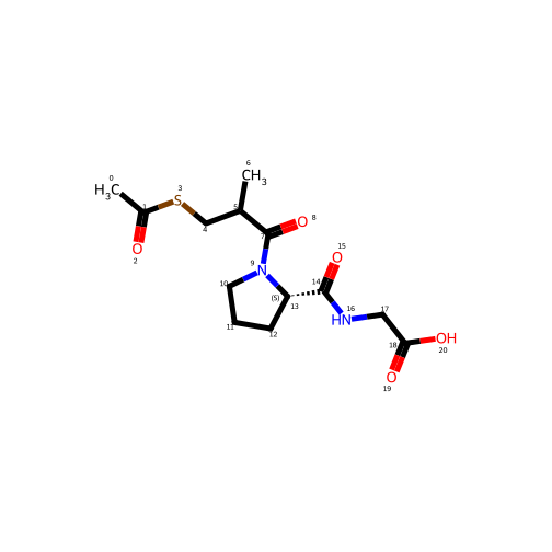 CC(=O)SCC(C)C(=O)N1CCC[C@H]1C(=O)NCC(=O)O